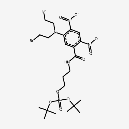 CC(C)(C)OP(=O)(OCCCNC(=O)c1cc(N(CCBr)CCBr)c([N+](=O)[O-])cc1[N+](=O)[O-])OC(C)(C)C